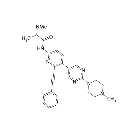 CNC(C)C(=O)Nc1ccc(-c2cnc(N3CCN(C)CC3)nc2)c(C#Cc2ccccc2)n1